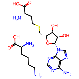 NCCCC[C@H](N)C(=O)O.Nc1ncnc2c1ncn2[C@@H]1O[C@H](CSCC[C@H](N)C(=O)O)[C@@H](O)[C@H]1O